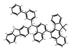 CC1(C)c2ccccc2-c2c(-c3ccc(N(c4cccc(-c5ccccc5)c4)c4ccc5c(c4)oc4ccccc45)c4ccccc34)cc3ccccc3c21